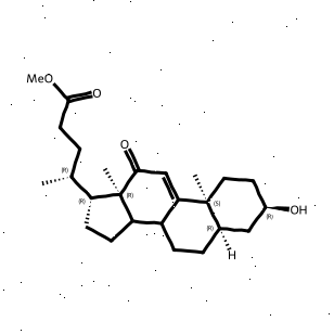 COC(=O)CC[C@@H](C)[C@H]1CCC2C3CC[C@@H]4C[C@H](O)CC[C@]4(C)C3=CC(=O)[C@@]21C